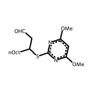 CCCCCCCCC(CC=O)Sc1nc(OC)cc(OC)n1